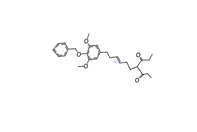 CCC(=O)C(CC/C=C/CCc1cc(OC)c(OCc2ccccc2)c(OC)c1)C(=O)CC